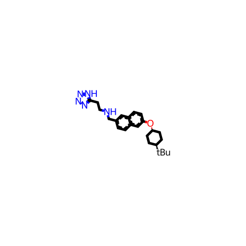 CC(C)(C)[C@H]1CC[C@H](Oc2ccc3cc(CNCCc4nnn[nH]4)ccc3c2)CC1